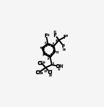 OC(c1ccc(F)c(C(F)(F)F)c1)C(Cl)(Cl)Cl